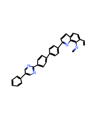 C=Cc1ccc2ccc(-c3ccc(-c4ccc(-c5ncc(-c6ccccc6)cn5)cc4)cc3)nc2c1N=C